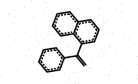 [CH]=C(c1ccccc1)c1cccc2ccccc12